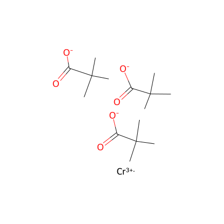 CC(C)(C)C(=O)[O-].CC(C)(C)C(=O)[O-].CC(C)(C)C(=O)[O-].[Cr+3]